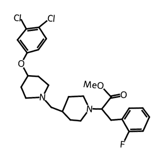 COC(=O)C(Cc1ccccc1F)N1CCC(CN2CCC(Oc3ccc(Cl)c(Cl)c3)CC2)CC1